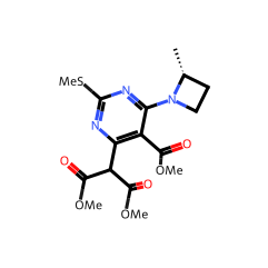 COC(=O)c1c(C(C(=O)OC)C(=O)OC)nc(SC)nc1N1CC[C@H]1C